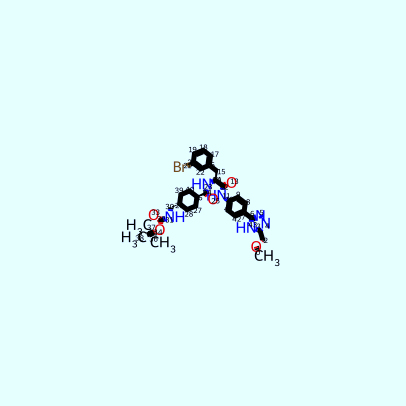 COCc1nnc(-c2ccc(NC(=O)[C@H](Cc3cccc(Br)c3)NC(=O)[C@H]3CC[C@H](CNC(=O)OC(C)(C)C)CC3)cc2)[nH]1